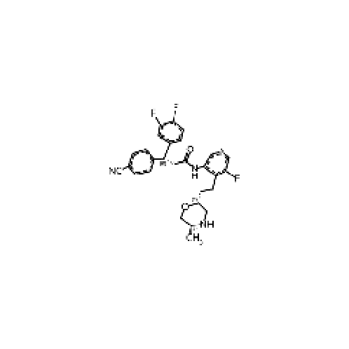 C[C@H]1CO[C@H](CCc2c(F)cncc2NC(=O)C[C@H](c2ccc(C#N)cc2)c2ccc(F)c(F)c2)CN1